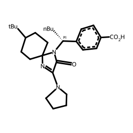 CCCC[C@H](c1ccc(C(=O)O)cc1)N1C(=O)C(N2CCCC2)=NC12CCC(C(C)(C)C)CC2